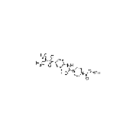 CN(C)S(=O)(=O)c1ccc(NC(=O)N2CCN(C(=O)OC(C)(C)C)CC2)c(I)c1